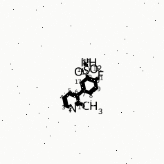 Cc1ncccc1-c1ccc(F)c(S(N)(=O)=O)c1